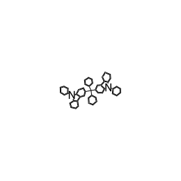 c1ccc(-n2c3ccccc3c3cc(C(c4ccccc4)(c4ccccc4)c4ccc5c(c4)c4ccccc4n5-c4ccccc4)ccc32)cc1